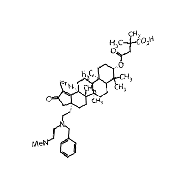 CNCCN(CC[C@@]12CC[C@]3(C)[C@H](CCC4[C@@]5(C)CC[C@H](OC(=O)CC(C)(C)C(=O)O)C(C)(C)C5CC[C@]43C)C1=C(C(C)C)C(=O)C2)Cc1ccccc1